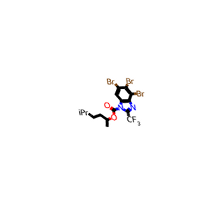 CC(C)CCC(C)OC(=O)n1c(C(F)(F)F)nc2c(Br)c(Br)c(Br)cc21